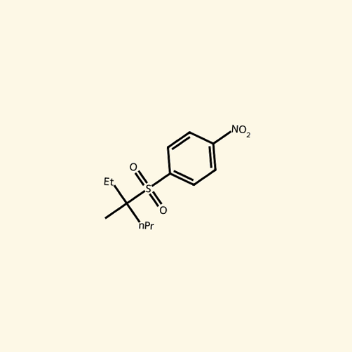 CCCC(C)(CC)S(=O)(=O)c1ccc([N+](=O)[O-])cc1